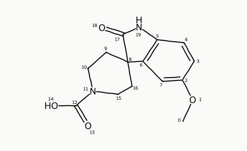 COc1ccc2c(c1)C1(CCN(C(=O)O)CC1)C(=O)N2